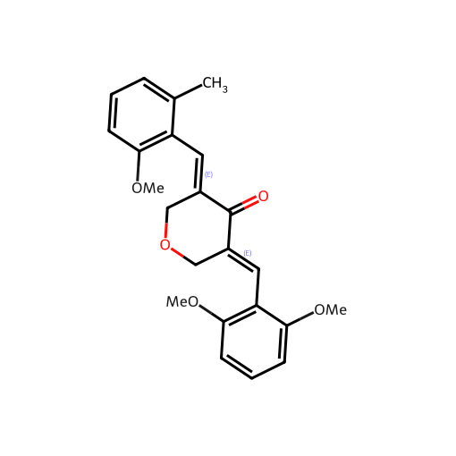 COc1cccc(C)c1/C=C1\COC/C(=C\c2c(OC)cccc2OC)C1=O